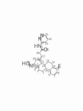 C[C@]12CCC3c4cccc(F)c4CCC3C1[C@H](CCC(=O)Nc1cccnn1)C/C2=N\O